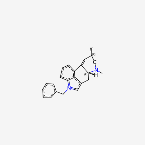 [CH2][C@@H]1C=C2c3cccc4c3c(cn4Cc3ccccc3)C[C@H]2N(C)C1